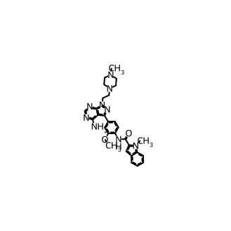 COc1cc(-c2nn(CCN3CCN(C)CC3)c3ncnc(N)c23)ccc1NC(=O)c1cc2ccccc2n1C